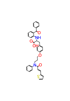 O=C(c1ccccc1)c1ccccc1NC(Cc1ccc(OCCCN(C(=O)C=Cc2cccs2)c2ccccc2)cc1)C(=O)O